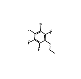 [CH2]c1c(F)c(F)c(CCC)c(F)c1F